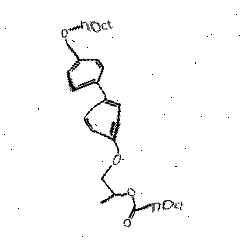 CCCCCCCCOc1ccc(-c2ccc(OCC(C)OC(=O)CCCCCCCC)cc2)cc1